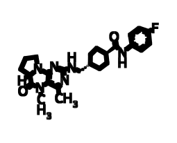 Cc1nc(NC[C@H]2CC[C@H](C(=O)Nc3ccc(F)cc3)CC2)nc2c1N(C)C(=O)[C@@H]1CCCN21